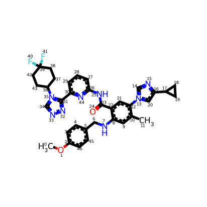 COc1ccc(CNc2cc(C)c(-n3cnc(C4CC4)c3)cc2C(=O)Nc2cccc(-c3nncn3C3CCC(F)(F)CC3)n2)cc1